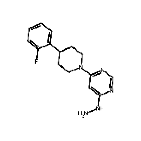 NNc1cc(N2CCC(c3ccccc3F)CC2)ncn1